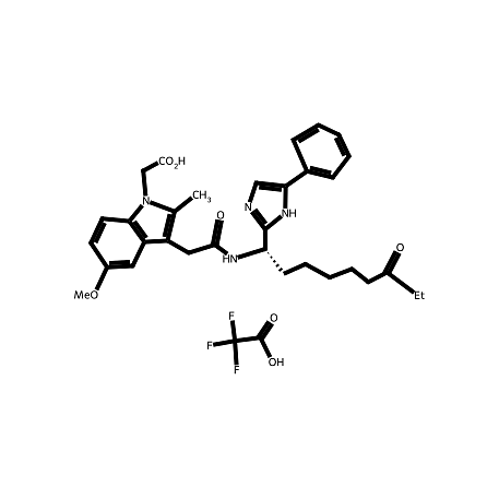 CCC(=O)CCCCC[C@H](NC(=O)Cc1c(C)n(CC(=O)O)c2ccc(OC)cc12)c1ncc(-c2ccccc2)[nH]1.O=C(O)C(F)(F)F